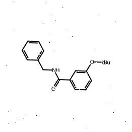 CC(C)(C)Oc1cccc(C(=O)NCc2ccccc2)c1